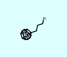 CC(=O)CCC[C]12[CH]3[CH]4[CH]5[CH]1[Fe]45321678[CH]2[CH]1[CH]6[CH]7[CH]28